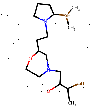 CC(S)C(O)CN1CCOC(CCN2CCCC2[SH](C)C)C1